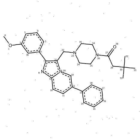 COc1cccc(-c2nc3ccc(-c4ccccc4)cn3c2CN2CCN(C(=O)CC(C)(C)C)CC2)c1